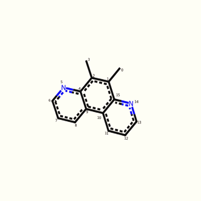 Cc1c(C)c2ncccc2c2cccnc12